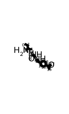 CCC(N)/C=N/NC(=O)NCC1CCC(C(C)=O)CC1